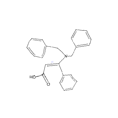 O=C(O)/C=C(\c1ccccc1)N(Cc1ccccc1)Cc1ccccc1